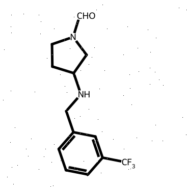 O=CN1CCC(NCc2cccc(C(F)(F)F)c2)C1